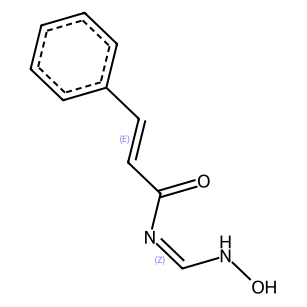 O=C(/C=C/c1ccccc1)/N=C\NO